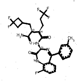 Cc1cccc(C2=N[C@H](NC(=O)[C@H](CCC(F)(F)F)[C@H](CC3CC(F)(F)C3)C(N)=O)C(=O)Nc3c(F)cccc32)c1